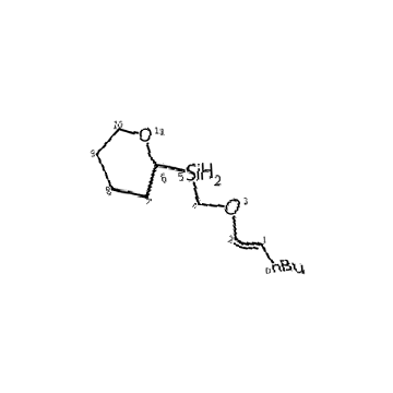 CCCCC=COC[SiH2]C1CCCCO1